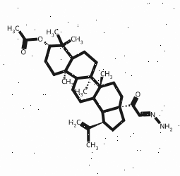 C=C(C)[C@@H]1CC[C@]2(C(=O)C=NN)CC[C@]3(C)C(CCC4[C@@]5(C)CC[C@H](OC(C)=O)C(C)(C)C5CC[C@]43C)C12